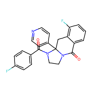 O=C(c1ccc(F)cc1)N1CCN2C(=O)c3cccc(F)c3CC12c1ccncc1